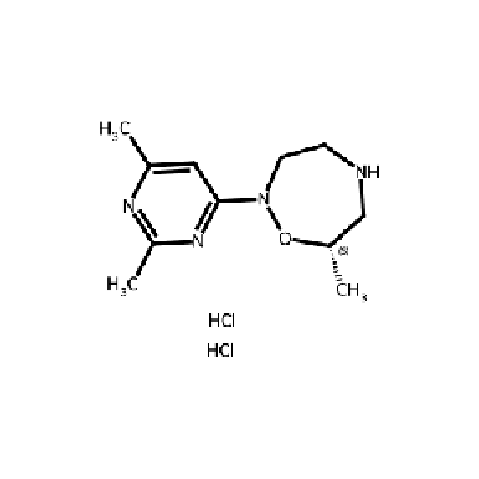 Cc1cc(N2CCNC[C@H](C)O2)nc(C)n1.Cl.Cl